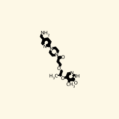 Cc1c(O[C@@H](C)COCCC(=O)N2CCN(c3ccc(CN)cn3)CC2)cn[nH]c1=O